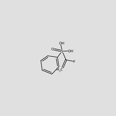 C=C(F)S(=O)(O)(O)c1ccccc1